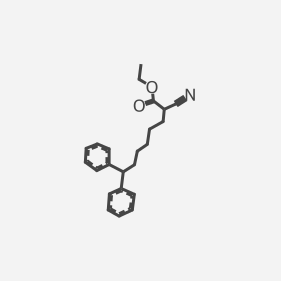 CCOC(=O)C(C#N)CCCCCC(c1ccccc1)c1ccccc1